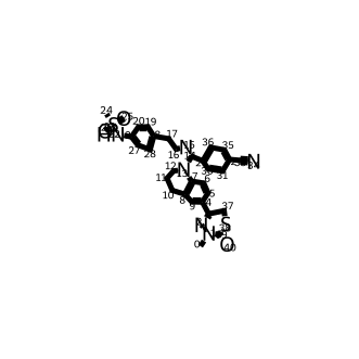 CN1N=C(c2ccc3c(c2)CCCN3/C(=N\CCc2ccc(NS(C)(=O)=O)cc2)c2ccc(C#N)cc2)CSC1=O